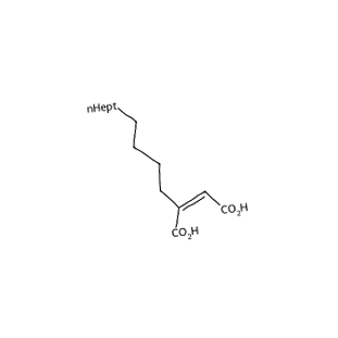 CCCCCCCCCCC/C(=C/C(=O)O)C(=O)O